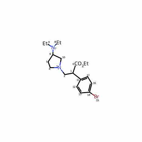 CCOC(=O)C(CN1CCC(N(CC)CC)C1)c1ccc(Br)cc1